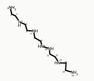 NCCNCCNCCNNCCNCCN